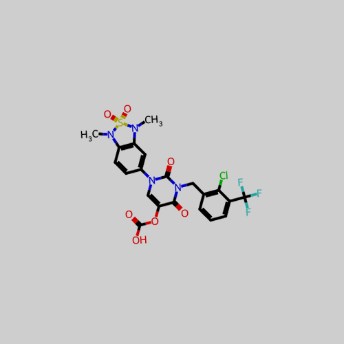 CN1c2ccc(-n3cc(OC(=O)O)c(=O)n(Cc4cccc(C(F)(F)F)c4Cl)c3=O)cc2N(C)S1(=O)=O